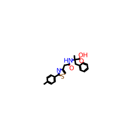 Cc1ccc(-c2nc(CC(=O)NC(C)(Cc3ccccc3)C(=O)O)cs2)cc1